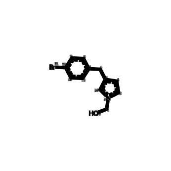 OCn1ccc(Cc2ccc(Br)cc2)c1